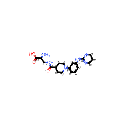 NC(CNC(=O)C1CCN(c2cccc(NC3=NCCCN3)c2)CC1)C(=O)O